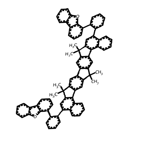 CC1(C)c2cc3c(cc2-c2cc4c(cc21)-c1c(cc(-c2ccccc2-c2cccc5c2oc2ccccc25)c2ccccc12)C4(C)C)C(C)(C)c1cc(-c2ccccc2-c2cccc4c2oc2ccccc24)c2ccccc2c1-3